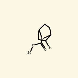 CCC1CC2CCC1N2C(=O)OC(C)(C)C